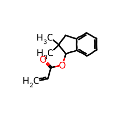 C=CC(=O)OC1c2ccccc2CC1(C)C